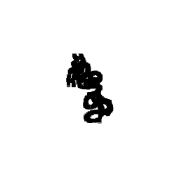 CC1(C)[C@@H]2CC3OB(Cc4coc5c(Cl)cccc45)O[C@@]3(C)[C@H]1C2